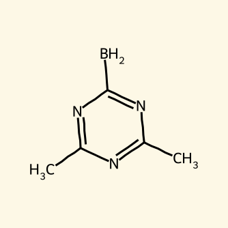 Bc1nc(C)nc(C)n1